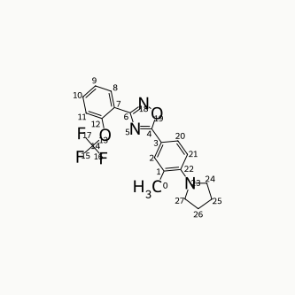 Cc1cc(-c2nc(-c3ccccc3OC(F)(F)F)no2)ccc1N1CCCC1